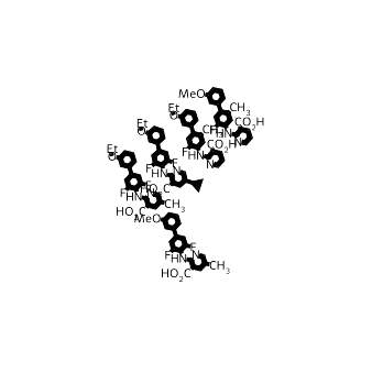 CCOc1cccc(-c2cc(F)c(Nc3ncc(C)cc3C(=O)O)c(F)c2)c1.CCOc1cccc(-c2cc(F)c(Nc3ncc(C4CC4)cc3C(=O)O)c(F)c2)c1.CCOc1cccc(-c2cc(F)c(Nc3ncccc3C(=O)O)cc2C)c1.COc1cccc(-c2cc(F)c(Nc3ncc(C)cc3C(=O)O)c(F)c2)c1.COc1cccc(-c2cc(F)c(Nc3ncccc3C(=O)O)cc2C)c1